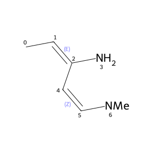 C/C=C(N)\C=C/NC